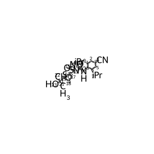 CC(C)c1cc(C#N)cc(C(C)C)c1NC(=O)N=[S@@](N)(=O)c1ccc(C(C)(C)O)s1